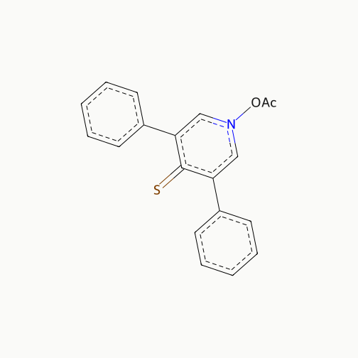 CC(=O)On1cc(-c2ccccc2)c(=S)c(-c2ccccc2)c1